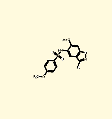 CCc1noc2cc(OC)c(NS(=O)(=O)c3ccc(OC(F)(F)F)cc3)cc12